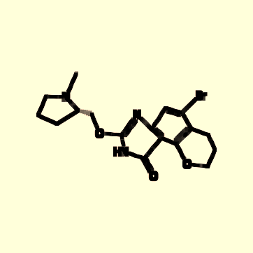 CN1CCC[C@H]1COc1nc2cc(Br)c3c(c2c(=O)[nH]1)OCCC3